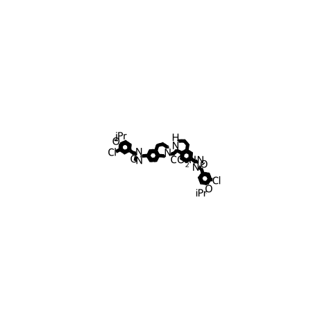 CC(C)Oc1ccc(-c2nc(-c3ccc4c(c3)CCCN(C(C(=O)O)C3NCCCc5cc(-c6noc(-c7ccc(OC(C)C)c(Cl)c7)n6)ccc53)C4)no2)cc1Cl